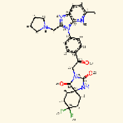 Cc1ccc2nc(CN3CCCC3)n(-c3ccc(C(=O)CN4C(=O)NC5(CCC(F)(F)CC5)C4=O)cc3)c2n1